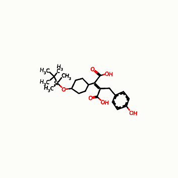 CC(C)(C)[Si](C)(C)OC1CCC(C(C(=O)O)=C(Cc2ccc(O)cc2)C(=O)O)CC1